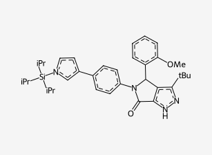 COc1ccccc1C1c2c(C(C)(C)C)n[nH]c2C(=O)N1c1ccc(-c2ccn([Si](C(C)C)(C(C)C)C(C)C)c2)cc1